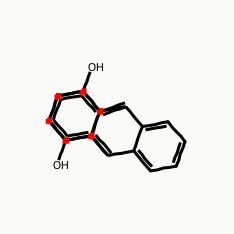 Oc1ccc(O)c2c1c1c3ccccc3c2c2ccccc21